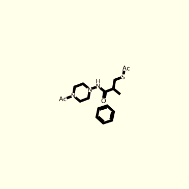 CC(=O)SCC(C)C(=O)NN1CCN(C(C)=O)CC1.c1ccccc1